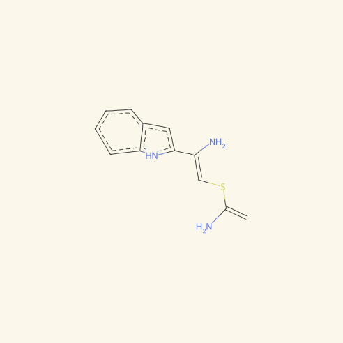 C=C(N)S/C=C(\N)c1cc2ccccc2[nH]1